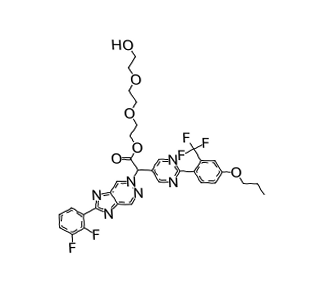 CCCOc1ccc(-c2ncc(C(C(=O)OCCOCCOCCO)n3cc4nc(-c5cccc(F)c5F)nc-4cn3)cn2)c(C(F)(F)F)c1